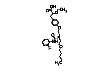 CCCCCOCCN(CCOc1ccc(CC(OCC)C(=O)O)cc1)C(=O)Nc1ccccc1F